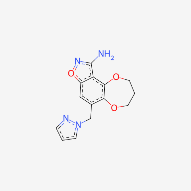 Nc1noc2cc(Cn3cccn3)c3c(c12)OCCCO3